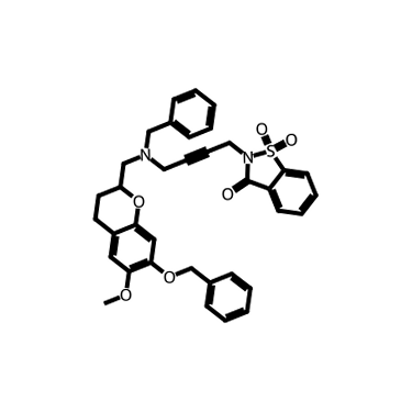 COc1cc2c(cc1OCc1ccccc1)OC(CN(CC#CCN1C(=O)c3ccccc3S1(=O)=O)Cc1ccccc1)CC2